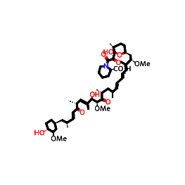 CO[C@@H](C[C@@H]1CC[C@@H](C)[C@](O)(C(=O)C(=O)N2CCCC[C@H]2C(=O)O)O1)/C(C)=C/C=C/C=C/[C@@H](C)C[C@@H](C)C(=O)[C@H](OC)[C@H](O)/C(C)=C/[C@@H](C)C(=O)/C=C/[C@H](C)C[C@@H]1CC[C@@H](O)[C@H](OC)C1